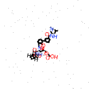 COc1c(CN2O[C@@H](COCC(=O)O)[C@H]([C@H](C)O)[C@H]2C(=O)N[C@H]2C[C@H]3C[C@@H]([C@@H]2C)C3(C)C)cccc1-c1cccc(C(=O)N[C@H](CC(C)C)CN(C)C)c1